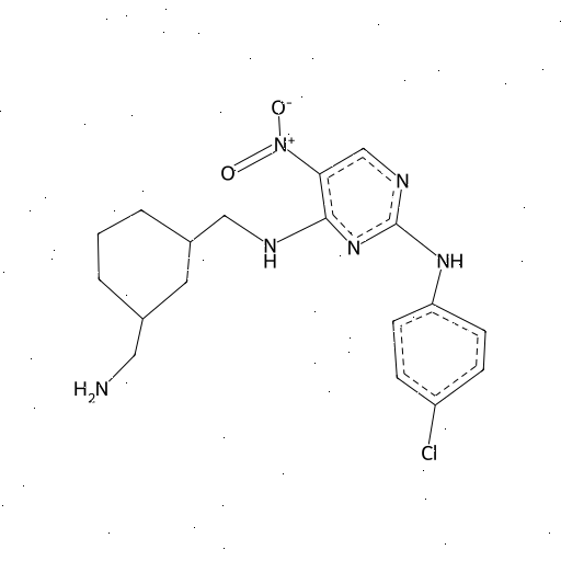 NCC1CCCC(CNc2nc(Nc3ccc(Cl)cc3)ncc2[N+](=O)[O-])C1